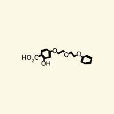 O=C(O)c1ccc(OCCOCCOc2ccccc2)cc1O